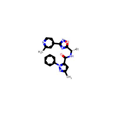 CC[C@H](NC(=O)c1cc(C)nn1-c1ccccc1)c1nc(-c2ccnc(C)c2)no1